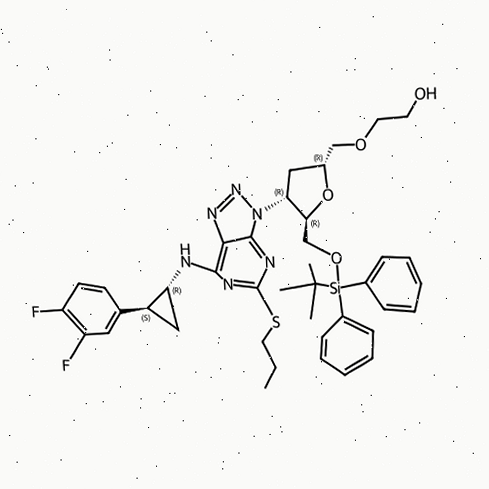 CCCSc1nc(N[C@@H]2C[C@H]2c2ccc(F)c(F)c2)c2nnn([C@@H]3C[C@H](COCCO)O[C@H]3CO[Si](c3ccccc3)(c3ccccc3)C(C)(C)C)c2n1